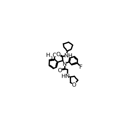 Cc1ccccc1C(C(=O)NC1CCCCC1)N(C(=O)CN[C@H]1CCOC1)c1cccc(F)c1